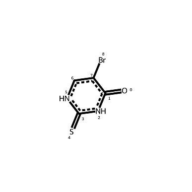 O=c1[nH]c(=S)[nH]cc1Br